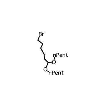 CCCCCOC(CCCCCBr)OCCCCC